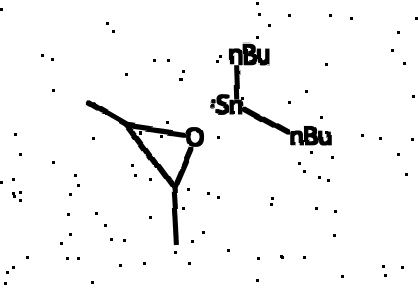 CC1OC1C.CCC[CH2][Sn][CH2]CCC